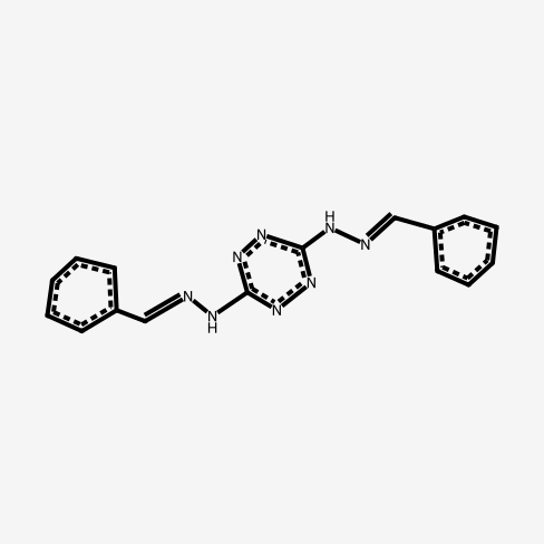 C(=N\Nc1nnc(N/N=C/c2ccccc2)nn1)/c1ccccc1